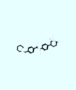 O=C1CCC(c2ccc(NC(=O)c3ccc(CN4CCCCC4)cc3)cc2)C(=O)N1